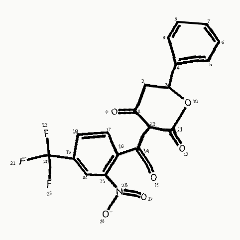 O=C1CC(c2ccccc2)OC(=O)C1C(=O)c1ccc(C(F)(F)F)cc1[N+](=O)[O-]